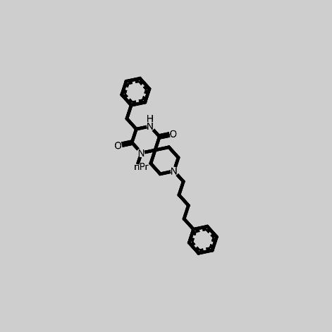 CCCN1C(=O)C(Cc2ccccc2)NC(=O)C12CCN(CCCCc1ccccc1)CC2